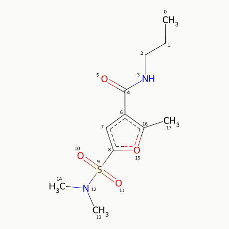 CCCNC(=O)c1cc(S(=O)(=O)N(C)C)oc1C